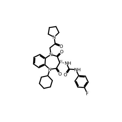 O=C(Nc1ccc(F)cc1)N[C@H]1C(=O)N(CC(=O)N2CCCC2)c2ccccc2N(C2CCCCC2)C1=O